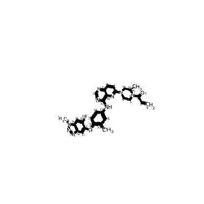 C=CC(=O)N1CCN(c2ccc3ncnc(Nc4ccc(Oc5cc6nnn(C)c6cc5F)c(C)c4)c3n2)C[C@H]1C